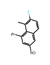 Cc1c(F)ccc2cc(N=O)cc(C(C)C)c12